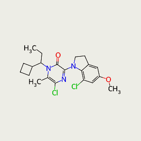 CCC(C1CCC1)n1c(C)c(Cl)nc(N2CCc3cc(OC)cc(Cl)c32)c1=O